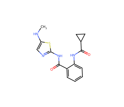 CNc1cnc(NC(=O)c2ccccc2NC(=O)C2CC2)s1